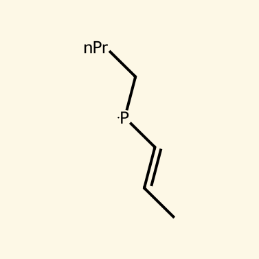 CC=C[P]CCCC